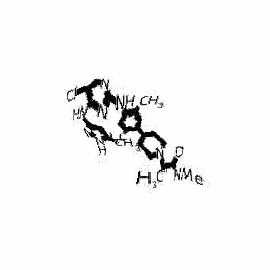 CNC(=O)[C@H](C)N1CCC(c2cc(C)c(Nc3ncc(Cl)c(Nc4cc(C)[nH]n4)n3)cc2C)CC1